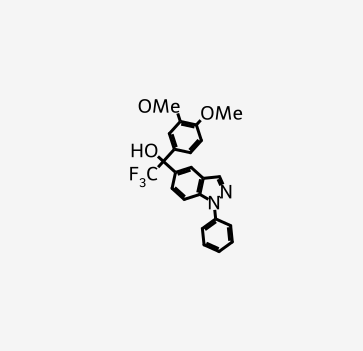 COc1ccc(C(O)(c2ccc3c(cnn3-c3ccccc3)c2)C(F)(F)F)cc1OC